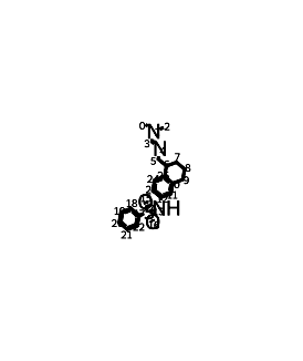 CN(C)/C=N/CC1CCCc2cc(NS(=O)(=O)c3ccccc3)ccc21